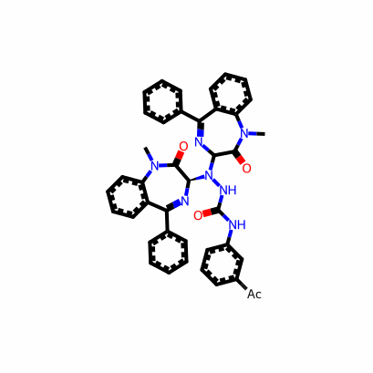 CC(=O)c1cccc(NC(=O)NN(C2N=C(c3ccccc3)c3ccccc3N(C)C2=O)[C@H]2N=C(c3ccccc3)c3ccccc3N(C)C2=O)c1